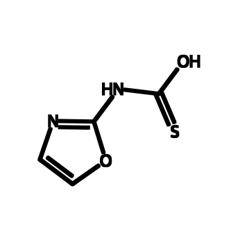 OC(=S)Nc1ncco1